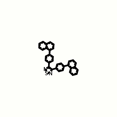 c1ccc2c(-c3ccc(-c4nsnc4-c4ccc(-c5cccc6ccccc56)cc4)cc3)cccc2c1